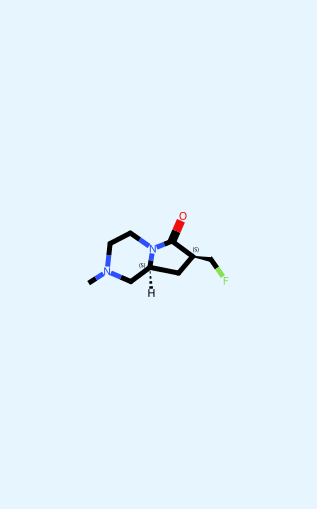 CN1CCN2C(=O)[C@@H](CF)C[C@H]2C1